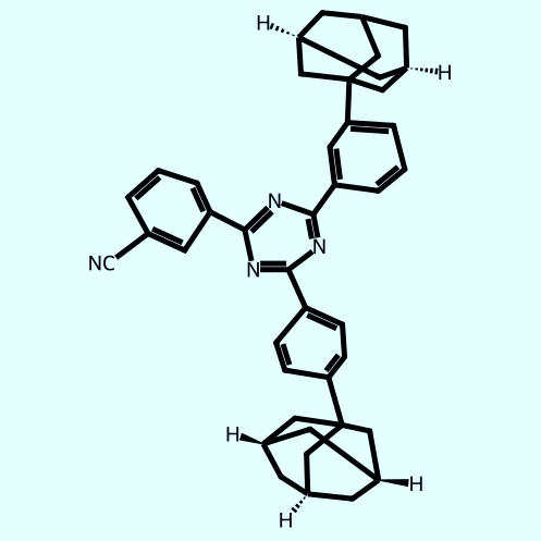 N#Cc1cccc(-c2nc(-c3ccc(C45C[C@H]6C[C@@H](C4)C[C@@H](C5)C6)cc3)nc(-c3cccc(C45CC6C[C@H](C4)C[C@@H](C6)C5)c3)n2)c1